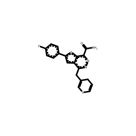 NC(=O)c1nnc(CC2=CSC=CC2)c2cc(-c3ccc(F)cc3)sc12